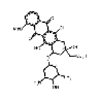 COc1cccc2c1C(=O)c1c(O)c3c(c(O)c1C2=O)C[C@](O)(CC(=O)O)CC3OC1CC(N)C(O)C(C)O1